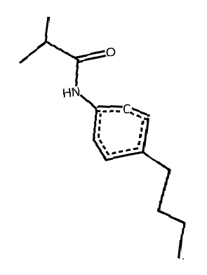 [CH2]CCCc1ccc(NC(=O)C(C)C)cc1